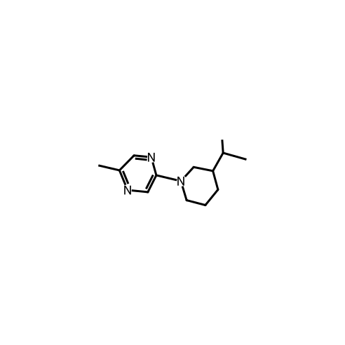 Cc1cnc(N2CCCC(C(C)C)C2)cn1